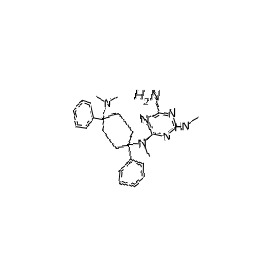 CNc1nc(N)nc(N(C)C2(c3ccccc3)CCC(c3ccccc3)(N(C)C)CC2)n1